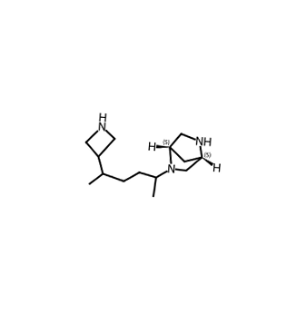 CC(CCC(C)N1C[C@@H]2C[C@H]1CN2)C1CNC1